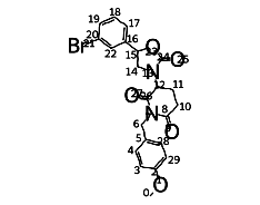 COc1ccc(CN2C(=O)CCC(N3CC(c4cccc(Br)c4)OC3=O)C2=O)cc1